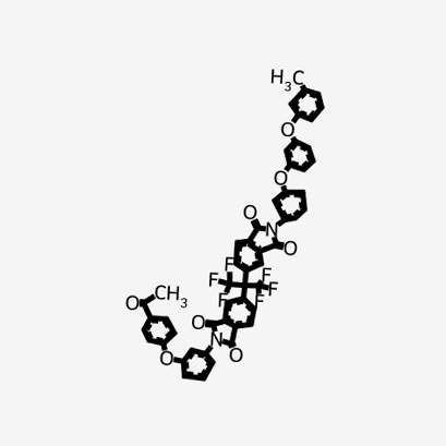 CC(=O)c1ccc(Oc2cccc(N3C(=O)c4ccc(C(c5ccc6c(c5)C(=O)N(c5cccc(Oc7cccc(Oc8cccc(C)c8)c7)c5)C6=O)(C(F)(F)F)C(F)(F)F)cc4C3=O)c2)cc1